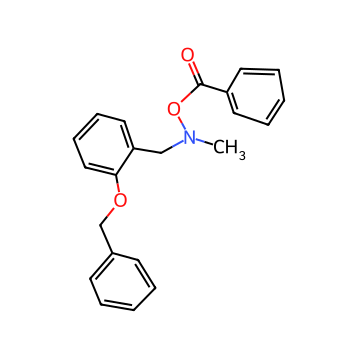 CN(Cc1ccccc1OCc1ccccc1)OC(=O)c1ccccc1